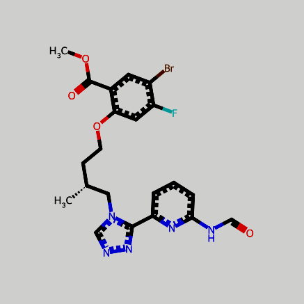 COC(=O)c1cc(Br)c(F)cc1OCC[C@@H](C)Cn1cnnc1-c1cccc(NC=O)n1